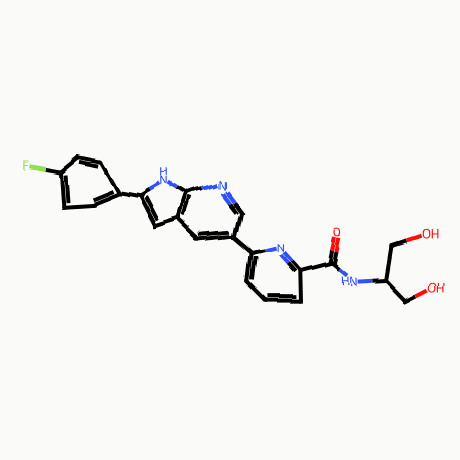 O=C(NC(CO)CO)c1cccc(-c2cnc3[nH]c(-c4ccc(F)cc4)cc3c2)n1